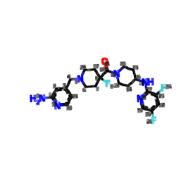 Nc1cc(CN2CCC(F)(C(=O)N3CCC(Nc4ncc(F)cc4F)CC3)CC2)ccn1